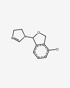 Clc1cccc2c1COC2N1C=NCC1